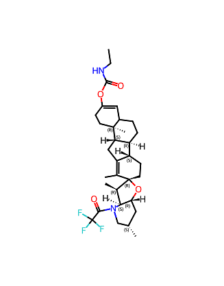 CCNC(=O)OC1=CC2CC[C@H]3[C@@H]4CC[C@]5(O[C@@H]6C[C@H](C)CN(C(=O)C(F)(F)F)[C@H]6[C@H]5C)C(C)=C4C[C@@H]3[C@@]2(C)CC1